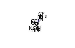 N#Cc1[nH]nnc1-c1cc(/C=C/c2nccc(C(F)(F)F)n2)cc(OC(F)(F)F)c1